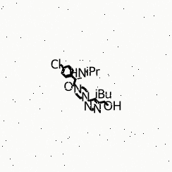 CC[C@@H](C)c1c(CO)ncnc1N1CCN(C(=O)[C@H](CNC(C)C)c2ccc(Cl)cc2)CC1